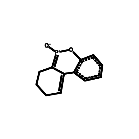 [O-][P+]1=C2CCCC=C2c2ccccc2O1